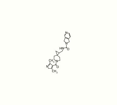 CC1=NCC(C)=C1C(=O)N1CCC2(CC1)CC2CNC(=O)N1Cc2ccncc2C1